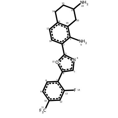 Nc1c(-c2ncc(-c3ccc(C(F)(F)F)cc3F)o2)ccc2c1CC(N)CC2